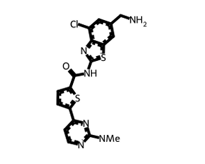 CNc1nccc(-c2ccc(C(=O)Nc3nc4c(Cl)cc(CN)cc4s3)s2)n1